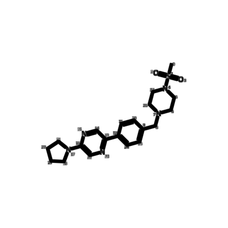 CS(=O)(=O)N1CCN(Cc2ccc(-c3cnc(N4CCCC4)cn3)cc2)CC1